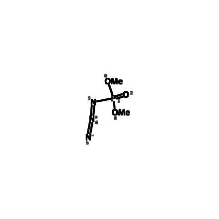 COP(=O)(N=[N+]=[N-])OC